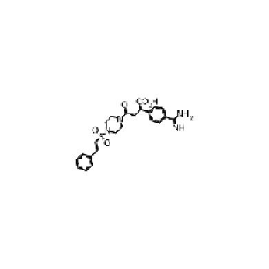 N=C(N)c1ccc(C(CC(=O)N2CCN(S(=O)(=O)C=Cc3ccccc3)CC2)C(=O)O)cc1